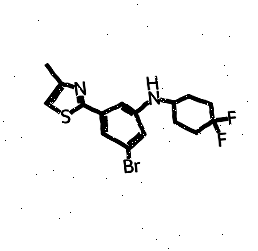 Cc1csc(-c2cc(Br)cc(NC3CCC(F)(F)CC3)c2)n1